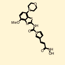 COc1ccc(N2CCOCC2)c2sc(NC(=O)n3ccc(/C=C/C(=O)NO)c3)nc12